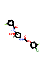 O=C(COc1ccc(Cl)c(F)c1)NC12CCC(NC(=O)c3cccc(F)c3)(CC1)[C@@H](O)C2